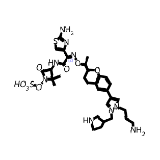 CC(O/N=C(\C(=O)NC1C(=O)N(OS(=O)(=O)O)C1(C)C)c1csc(N)n1)C1CCc2cc(-c3cn(CCCN)[n+](CC4CCNC4)c3)ccc2O1